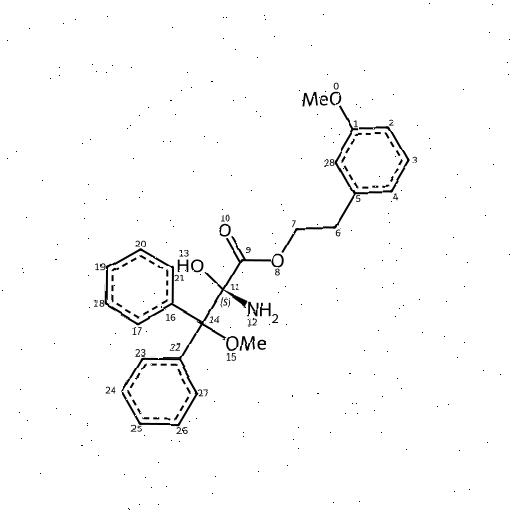 COc1cccc(CCOC(=O)[C@@](N)(O)C(OC)(c2ccccc2)c2ccccc2)c1